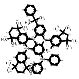 Cc1cc2c(cc1N1c3ccc(C(C)(C)c4ccccc4)cc3B3c4cc5c(cc4N(c4ccc6c(c4)C(C)(C)CCC6(C)C)c4cc(N(c6ccccc6)c6ccccc6)cc1c43)C(C)(C)CCC5(C)C)C(C)(C)CC2(C)C